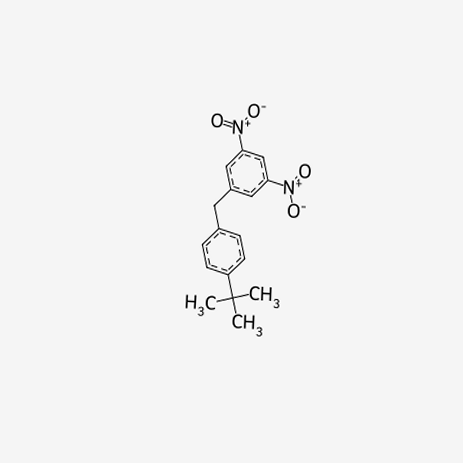 CC(C)(C)c1ccc(Cc2cc([N+](=O)[O-])cc([N+](=O)[O-])c2)cc1